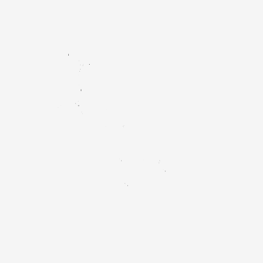 CNCCN(C)Cc1cccc(-c2cc(C(=O)NCC3CCOCC3)c3c(n2)N(CC(F)(F)F)C3)c1